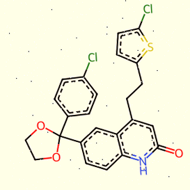 O=c1cc(CCc2ccc(Cl)s2)c2cc(C3(c4ccc(Cl)cc4)OCCO3)ccc2[nH]1